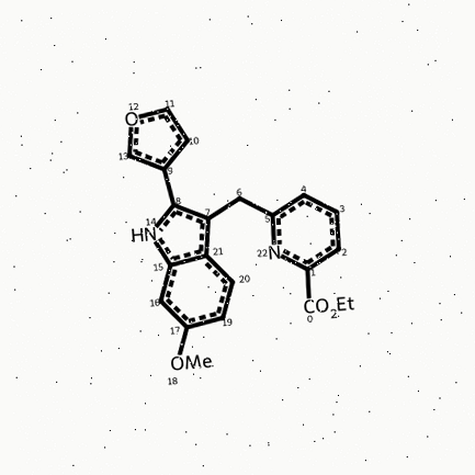 CCOC(=O)c1cccc(Cc2c(-c3ccoc3)[nH]c3cc(OC)ccc23)n1